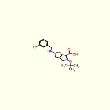 CC(C)(C)ON1CC2CC(NCc3cccc(Cl)c3)CC2C1C(=O)O